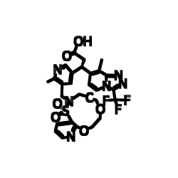 Cc1ncc([C@@H](CC(=O)O)c2ccn3c(C(F)(F)F)nnc3c2C)cc1CN1CCCOCCOc2ncccc2S1(=O)=O